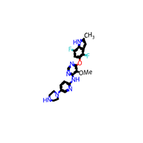 COc1c(Nc2ccc(N3CCNCC3)cn2)ncnc1Oc1cc(F)c2[nH]c(C)cc2c1F